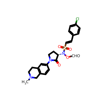 CN1CCc2cc(N3CC[C@H](N(OC=O)S(=O)(=O)/C=C/c4ccc(Cl)cc4)C3=O)ccc2C1